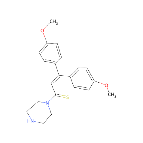 COc1ccc(C(=CC(=S)N2CCNCC2)c2ccc(OC)cc2)cc1